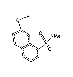 [CH2]NS(=O)(=O)c1cccc2ccc(OCC)cc12